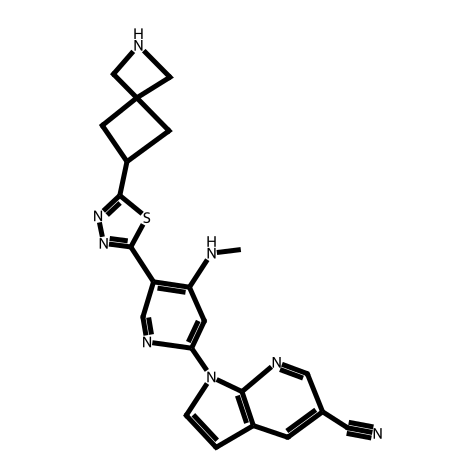 CNc1cc(-n2ccc3cc(C#N)cnc32)ncc1-c1nnc(C2CC3(CNC3)C2)s1